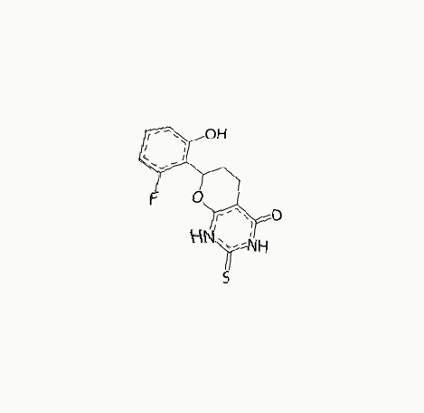 O=c1[nH]c(=S)[nH]c2c1CCC(c1c(O)cccc1F)O2